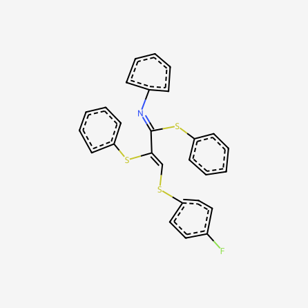 Fc1ccc(SC=C(Sc2ccccc2)C(=Nc2ccccc2)Sc2ccccc2)cc1